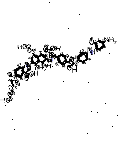 COc1cc(N)ccc1/N=N/c1ccc(NS(=O)(=O)c2ccc(/N=N/c3c(S(=O)(=O)O)cc4c(SOOO)cc(/N=N/c5ccc(S(=O)(=O)CCOSOOO)cc5S(=O)(=O)O)c(N)c4c3O)cc2)cc1